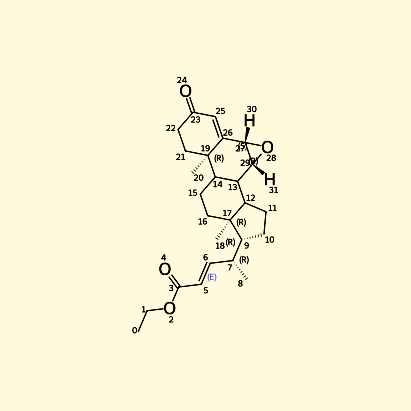 CCOC(=O)/C=C/[C@@H](C)[C@H]1CCC2C3C(CC[C@@]21C)[C@@]1(C)CCC(=O)C=C1[C@@H]1O[C@H]31